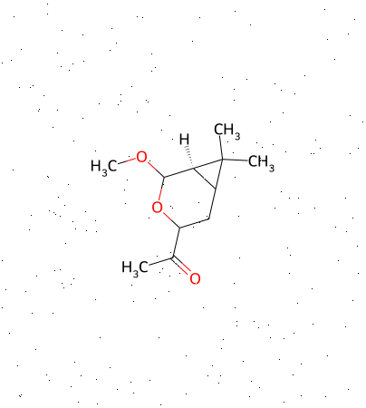 COC1OC(C(C)=O)CC2[C@@H]1C2(C)C